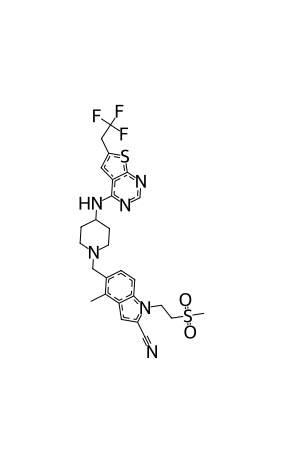 Cc1c(CN2CCC(Nc3ncnc4sc(CC(F)(F)F)cc34)CC2)ccc2c1cc(C#N)n2CCS(C)(=O)=O